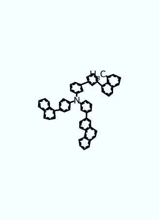 Cc1cccc2cccc(-c3cccc(-c4cccc(N(c5ccc(-c6cccc7ccccc67)cc5)c5cccc(-c6ccc7c(ccc8ccccc87)c6)c5)c4)c3)c12